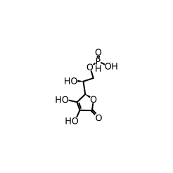 O=C1O[C@H]([C@@H](O)CO[PH](=O)O)C(O)=C1O